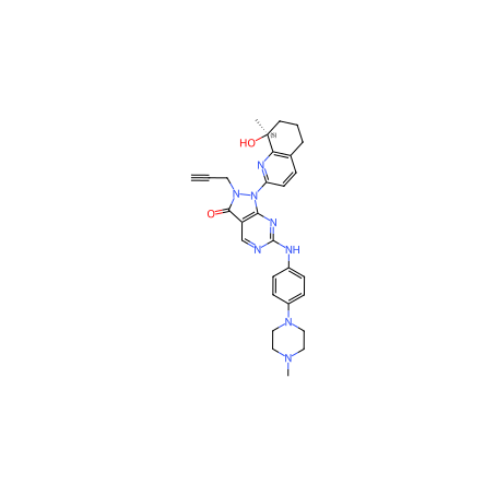 C#CCn1c(=O)c2cnc(Nc3ccc(N4CCN(C)CC4)cc3)nc2n1-c1ccc2c(n1)[C@@](C)(O)CCC2